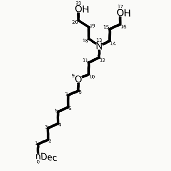 CCCCCCCCCCCCCCCCCCOCCCN(CCCO)CCCO